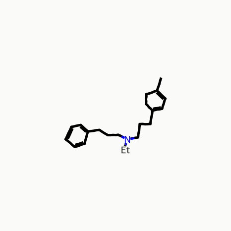 CCN(CCCC1=CC=C(C)CC1)CCCc1ccccc1